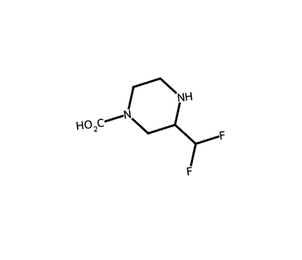 O=C(O)N1CCNC(C(F)F)C1